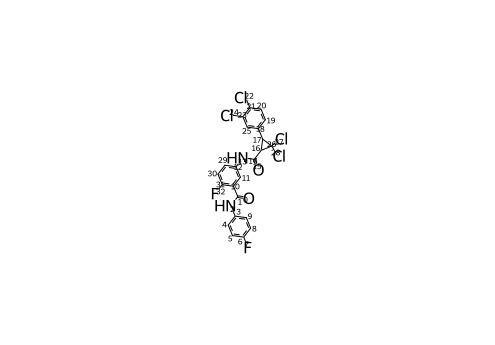 O=C(Nc1ccc(F)cc1)c1cc(NC(=O)C2C(c3ccc(Cl)c(Cl)c3)C2(Cl)Cl)ccc1F